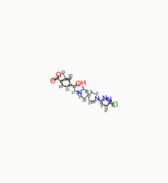 Cc1cc(N2CCC3(CCN(CC(O)c4ccc5c(c4C)COC5=O)CC3)CC2)nnc1Cl